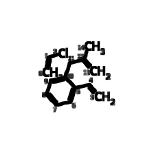 C=CCl.C=Cc1ccccc1CC(=C)C